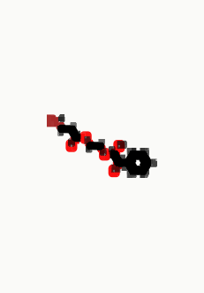 O=C(CCBr)OCCOC(=O)C(=O)c1ccccc1